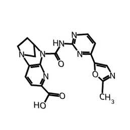 Cc1ncc(-c2ccnc(NC(=O)N3c4nc(C(=O)O)ccc4N4CCC3C4)n2)o1